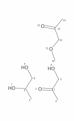 CC(=O)CO.CC(O)CO.COCC(C)=O